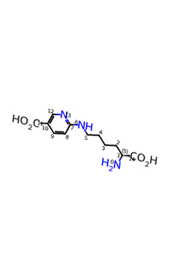 N[C@@H](CCCCNc1ccc(C(=O)O)cn1)C(=O)O